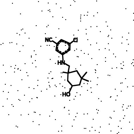 CC1(C)CC(O)CC(C)(CNc2cc(Cl)cc(C#N)c2)C1